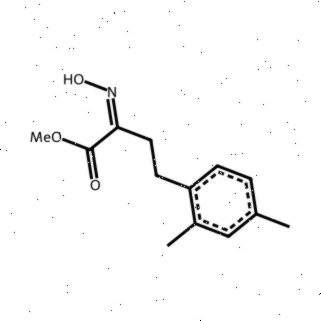 COC(=O)/C(CCc1ccc(C)cc1C)=N\O